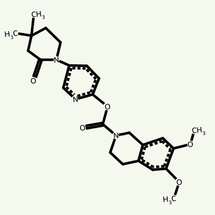 COc1cc2c(cc1OC)CN(C(=O)Oc1ccc(N3CCC(C)(C)CC3=O)cn1)CC2